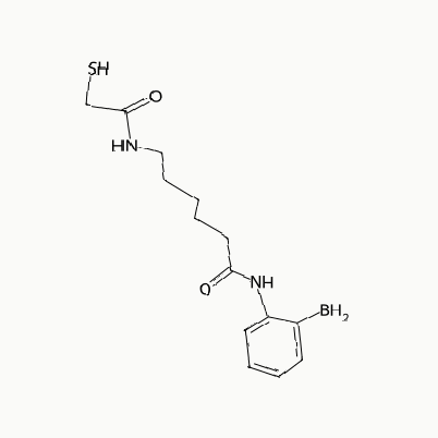 Bc1ccccc1NC(=O)CCCCCNC(=O)CS